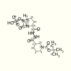 CC(C)(C)OC(=O)N1CCCC(C(=O)NNC(=O)C2CC[C@H]3CN2C(=O)N3OS(=O)(=O)O)C1